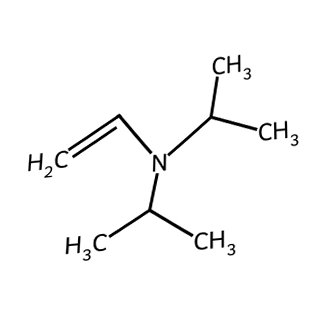 C=CN(C(C)C)C(C)C